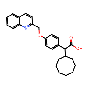 O=C(O)C(c1ccc(OCc2ccc3ccccc3n2)cc1)C1CCCCCCC1